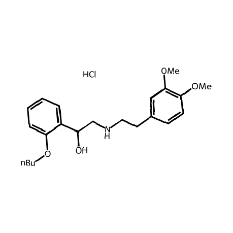 CCCCOc1ccccc1C(O)CNCCc1ccc(OC)c(OC)c1.Cl